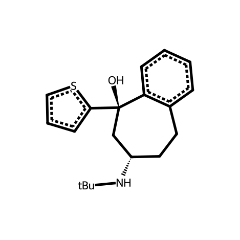 CC(C)(C)N[C@H]1CCc2ccccc2[C@@](O)(c2cccs2)C1